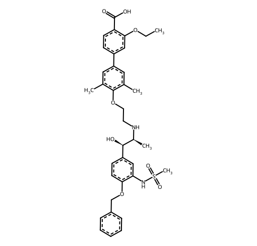 CCOc1cc(-c2cc(C)c(OCCN[C@@H](C)[C@H](O)c3ccc(OCc4ccccc4)c(NS(C)(=O)=O)c3)c(C)c2)ccc1C(=O)O